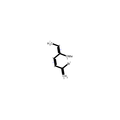 C=C(Br)/C=C\C(=C/C)OC